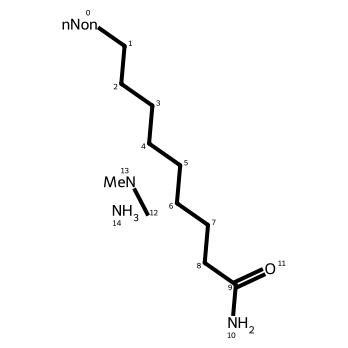 CCCCCCCCCCCCCCCCCC(N)=O.CNC.N